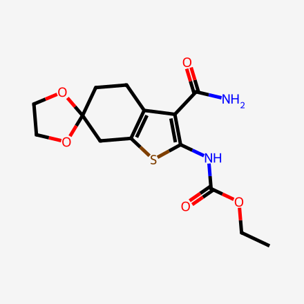 CCOC(=O)Nc1sc2c(c1C(N)=O)CCC1(C2)OCCO1